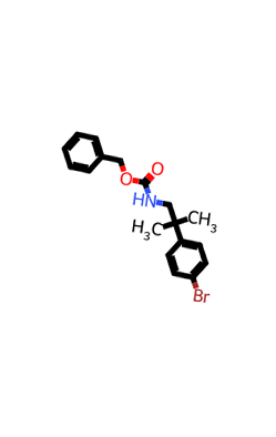 CC(C)(CNC(=O)OCc1ccccc1)c1ccc(Br)cc1